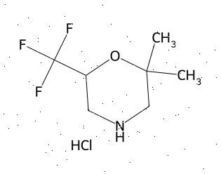 CC1(C)CNCC(C(F)(F)F)O1.Cl